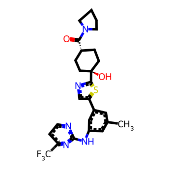 Cc1cc(Nc2nccc(C(F)(F)F)n2)cc(-c2cnc([C@]3(O)CC[C@H](C(=O)N4CCCC4)CC3)s2)c1